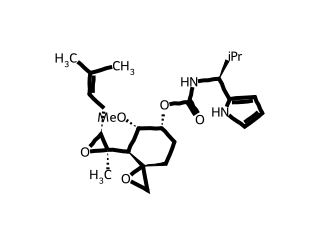 CO[C@@H]1[C@H](OC(=O)N[C@H](c2ccc[nH]2)C(C)C)CC[C@]2(CO2)[C@H]1[C@@]1(C)O[C@@H]1CC=C(C)C